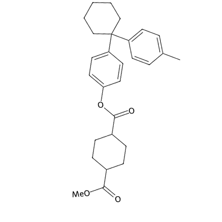 COC(=O)C1CCC(C(=O)Oc2ccc(C3(c4ccc(C)cc4)CCCCC3)cc2)CC1